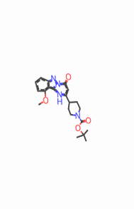 COc1cccc2nn3c(=O)cc(C4CCN(C(=O)OC(C)(C)C)CC4)[nH]c3c12